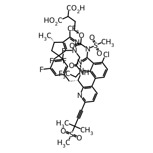 C[C@H]1CC(F)(F)c2c1c(C(F)(F)F)nn2CC(=O)N[C@@H](Cc1cc(F)cc(F)c1)c1nc(C#CC(C)(C)S(C)(=O)=O)ccc1-c1ccc(Cl)c2c(N(C(=O)OCCC(C(=O)O)C(=O)O)S(C)(=O)=O)nn(CC(F)(F)F)c12